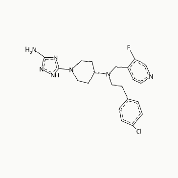 Nc1n[nH]c(N2CCC(N(CCc3ccc(Cl)cc3)Cc3ccncc3F)CC2)n1